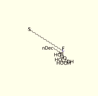 CCCCCCCCCCCCCCC[C@@H](O)[C@@H](/C=C(/F)CCCCCCCCCCCCCCCCCCCCCCCS(C)(C)C)COC1OC(CO)C(O)C(O)C1O